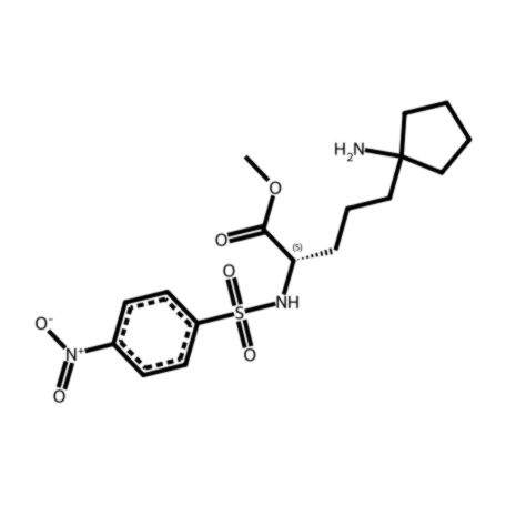 COC(=O)[C@H](CCCC1(N)CCCC1)NS(=O)(=O)c1ccc([N+](=O)[O-])cc1